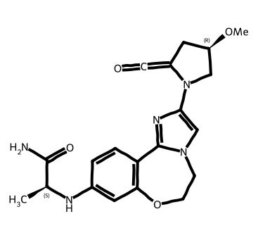 CO[C@@H]1CC(=C=O)N(c2cn3c(n2)-c2ccc(N[C@@H](C)C(N)=O)cc2OCC3)C1